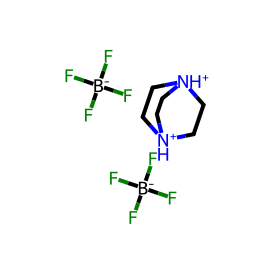 C1C[NH+]2CC[NH+]1CC2.F[B-](F)(F)F.F[B-](F)(F)F